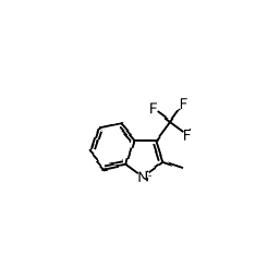 CC1=C(C(F)(F)F)c2ccccc2[N]1